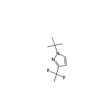 CC(F)(F)c1ccn(C(C)(C)C)n1